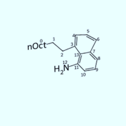 CCCCCCCCCCc1cccc2cccc(N)c12